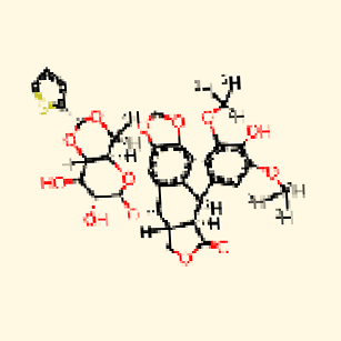 [2H]C([2H])([2H])Oc1cc([C@]2([2H])c3cc4c(cc3[C@@H](O[C@@H]3O[C@H]5[C@@H](O[C@H](c6cccs6)OC5([2H])[2H])[C@H](O)[C@H]3O)[C@H]3COC(=O)[C@@H]32)OCO4)cc(OC([2H])([2H])[2H])c1O